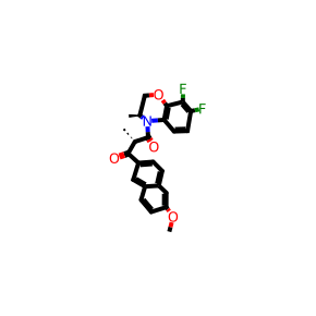 COc1ccc2cc(C(=O)[C@H](C)C(=O)N3c4ccc(F)c(F)c4OC[C@@H]3C)ccc2c1